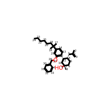 C=C(C)C[C@@H]1CC[C@](C)(O)C[C@@H]1c1ccc(C(C)(C)CCCCCC)cc1OCc1ccccc1